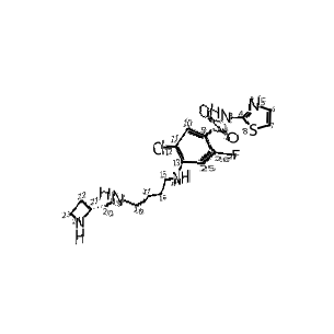 O=S(=O)(Nc1nccs1)c1cc(Cl)c(NCCCCNC[C@H]2CCN2)cc1F